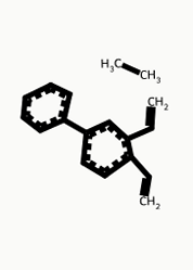 C=Cc1ccc(-c2ccccc2)cc1C=C.CC